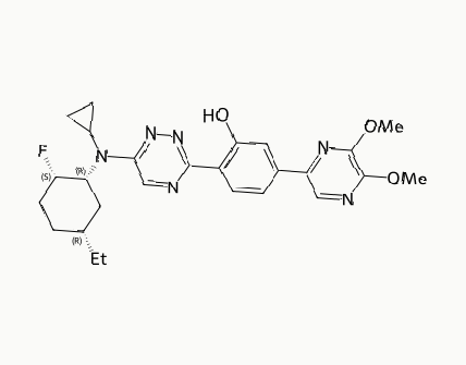 CC[C@@H]1CC[C@H](F)[C@H](N(c2cnc(-c3ccc(-c4cnc(OC)c(OC)n4)cc3O)nn2)C2CC2)C1